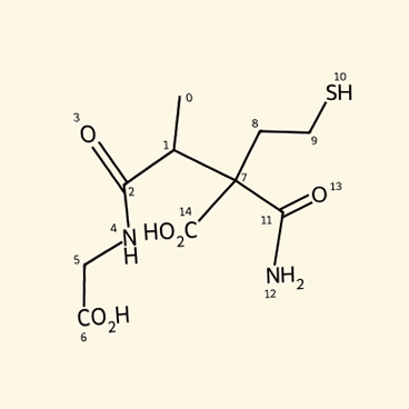 CC(C(=O)NCC(=O)O)C(CCS)(C(N)=O)C(=O)O